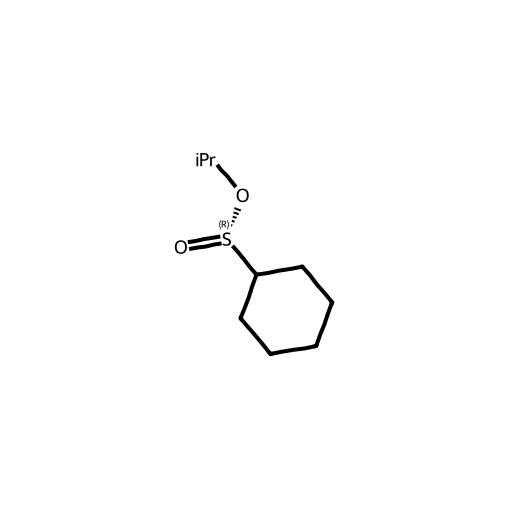 CC(C)O[S@@](=O)C1CCCCC1